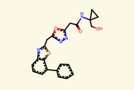 O=C(Cc1nnc(Cc2nc3cccc(-c4ccccc4)c3s2)o1)NC1(CO)CC1